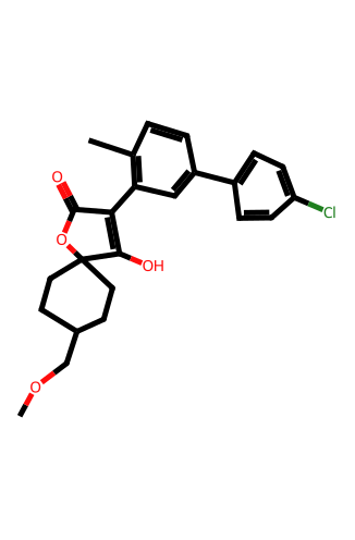 COCC1CCC2(CC1)OC(=O)C(c1cc(-c3ccc(Cl)cc3)ccc1C)=C2O